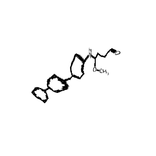 COC(CCC=O)NC1=CC=C(c2ccc(-c3ccccc3)cc2)CC1